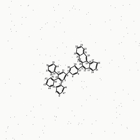 c1ccc(-c2cc(-c3ccc(-c4cc5ccccc5c5cc6ccccc6nc45)cc3)cc(-c3ccccc3)c2-c2ccccc2)cc1